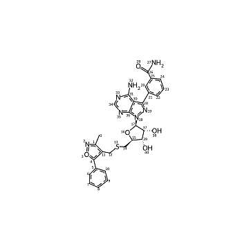 Cc1noc(-c2ccccc2)c1CSC[C@H]1O[C@@H](n2nc(-c3cccc(C(N)=O)c3)c3c(N)ncnc32)[C@H](O)[C@@H]1O